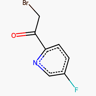 O=C(CBr)c1ccc(F)cn1